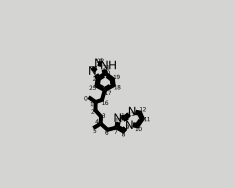 CC(CCC(C)Cc1cn2cccnc2n1)Cc1ccc2[nH]nnc2c1